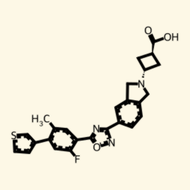 Cc1cc(-c2nc(-c3ccc4c(c3)CN([C@H]3C[C@H](C(=O)O)C3)C4)no2)c(F)cc1-c1ccsc1